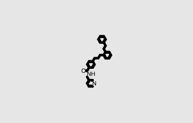 O=C(NCc1cccnc1)c1ccc(CCCc2ccccc2CCc2ccccc2)cc1